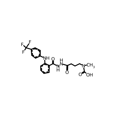 CN(CCCC(=O)NNC(=O)c1ccccc1Nc1ccc(C(F)(F)F)cc1)C(=O)O